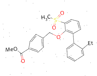 CCc1ccccc1-c1cccc(S(C)(=O)=O)c1OCc1ccc(C(=O)OC)cc1